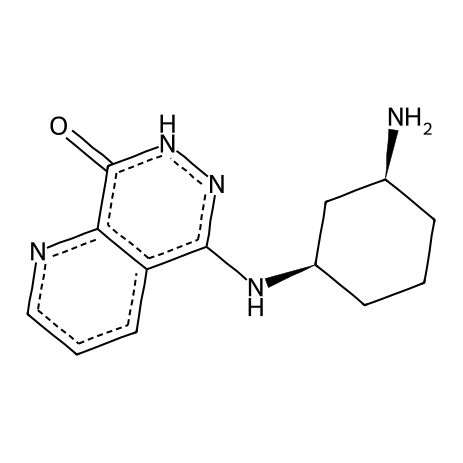 N[C@H]1CCC[C@@H](Nc2n[nH]c(=O)c3ncccc23)C1